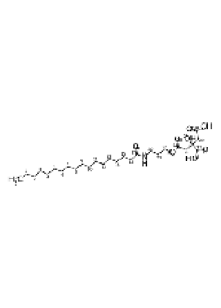 CCCCCCCCCCCCCCCCCC(=O)NCCCOC(=O)CC(O)(CC(=O)O)C(=O)O